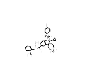 O=C(NCc1ccccc1C(F)F)c1ccc2c(c1F)C1(CCS(=O)(=O)CC1)C(C1CC1)N2S(=O)(=O)c1ccc(F)cc1